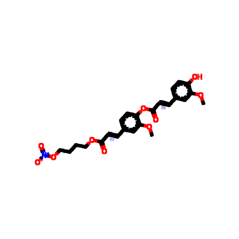 COc1cc(/C=C/C(=O)Oc2ccc(/C=C/C(=O)OCCCCO[N+](=O)[O-])cc2OC)ccc1O